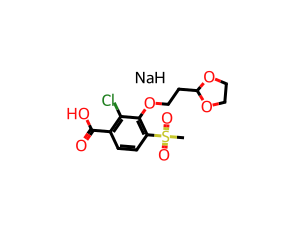 CS(=O)(=O)c1ccc(C(=O)O)c(Cl)c1OCCC1OCCO1.[NaH]